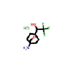 Cl.NC12CCC(C(O)C(F)(F)F)(CC1)OC2